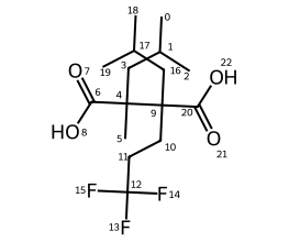 CC(C)CC(C)(C(=O)O)C(CCC(F)(F)F)(CC(C)C)C(=O)O